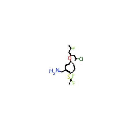 C=C(F)/C=C(\C=C(/C)Cl)OC1/C=C\C/C(SC(C)(F)F)=C(CN)\C=C\1